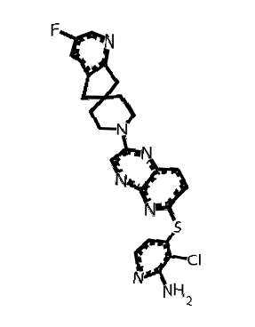 Nc1nccc(Sc2ccc3nc(N4CCC5(CC4)Cc4cc(F)cnc4C5)cnc3n2)c1Cl